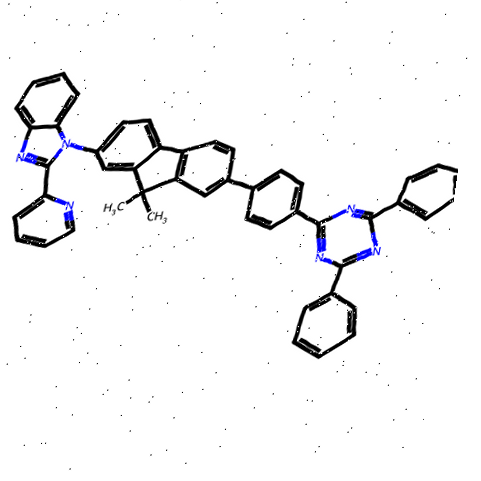 CC1(C)c2cc(-c3ccc(-c4nc(-c5ccccc5)nc(-c5ccccc5)n4)cc3)ccc2-c2ccc(-n3c(-c4ccccn4)nc4ccccc43)cc21